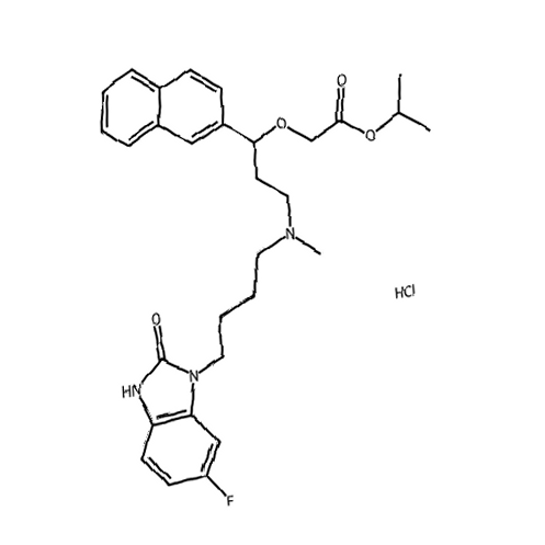 CC(C)OC(=O)COC(CCN(C)CCCCn1c(=O)[nH]c2ccc(F)cc21)c1ccc2ccccc2c1.Cl